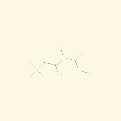 CCOC(C)/[P+]([O-])=C(\O)C[N+](C)(C)C